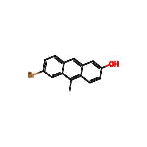 Cc1c2ccc(O)cc2cc2ccc(Br)cc12